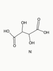 O=C(O)C(O)C(O)C(=O)O.[N]